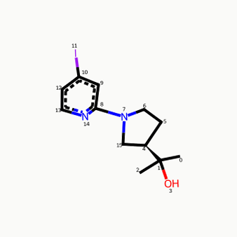 CC(C)(O)[C@@H]1CCN(c2cc(I)ccn2)C1